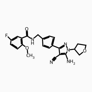 COc1ccc(F)cc1C(=O)NCc1ccc(-c2nn(C3CCOC3)c(N)c2C#N)cc1